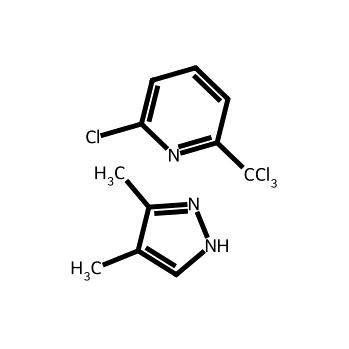 Cc1c[nH]nc1C.Clc1cccc(C(Cl)(Cl)Cl)n1